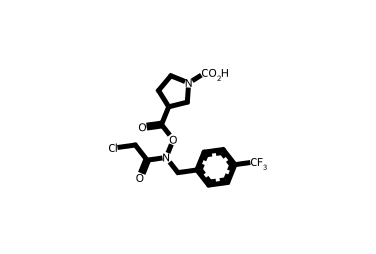 O=C(ON(Cc1ccc(C(F)(F)F)cc1)C(=O)CCl)C1CCN(C(=O)O)C1